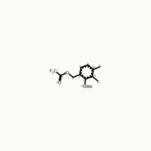 COc1c(COC(=O)C(F)(F)F)ccc(C)c1C